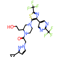 O=C(Cn1ccc(C2CC2)n1)N1CCN(c2sc(C(F)(F)F)nc2-c2cnc(C(F)(F)F)nc2)CC1CCO